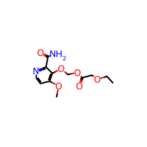 CCOCC(=O)OCOc1c(OC)ccnc1C(N)=O